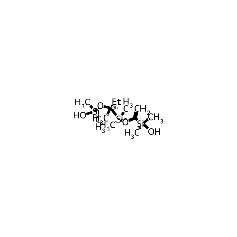 C=C(O[Si](C)(C)[C@](C)(CC)O[Si](C)(C)O)[Si](C)(C)O